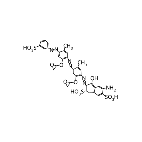 Cc1cc(N=Nc2cc(OC3CO3)c(N=Nc3c(S(=O)(=O)O)cc4cc(S(=O)(=O)O)c(N)cc4c3O)cc2C)c(OC2CO2)cc1N=Nc1cccc(S(=O)(=O)O)c1